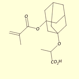 C=C(C)C(=O)OC12CC3CC(C1)CC(OC(C)C(=O)O)(C3)C2